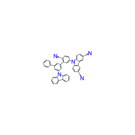 N#Cc1ccc2c(c1)c1cc(C#N)ccc1n2-c1ccc(C#N)c(-c2cc(-c3ccccc3)cc(-n3c4ccccc4c4ccccc43)c2)c1